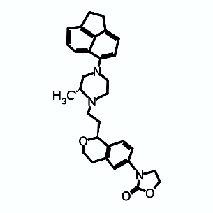 C[C@@H]1CN(c2ccc3c4c(cccc24)CC3)CCN1CC[C@@H]1OCCc2cc(N3CCOC3=O)ccc21